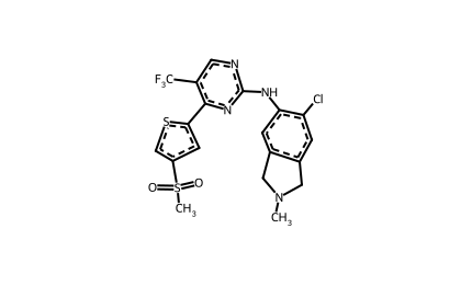 CN1Cc2cc(Cl)c(Nc3ncc(C(F)(F)F)c(-c4cc(S(C)(=O)=O)cs4)n3)cc2C1